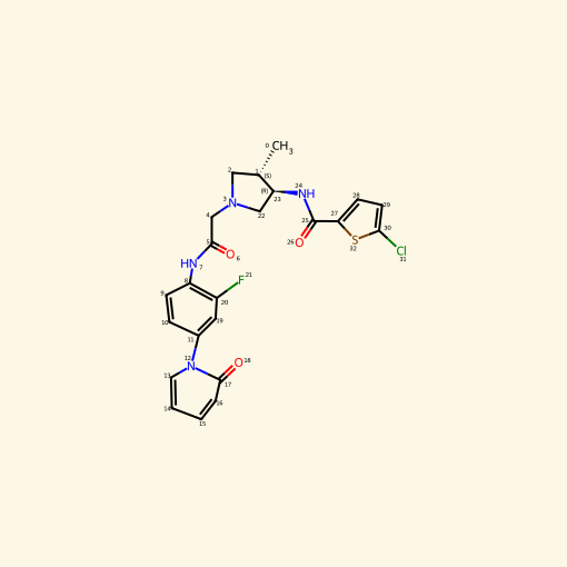 C[C@H]1CN(CC(=O)Nc2ccc(-n3ccccc3=O)cc2F)C[C@@H]1NC(=O)c1ccc(Cl)s1